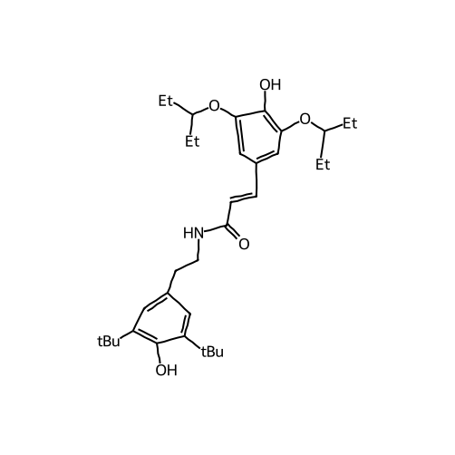 CCC(CC)Oc1cc(/C=C/C(=O)NCCc2cc(C(C)(C)C)c(O)c(C(C)(C)C)c2)cc(OC(CC)CC)c1O